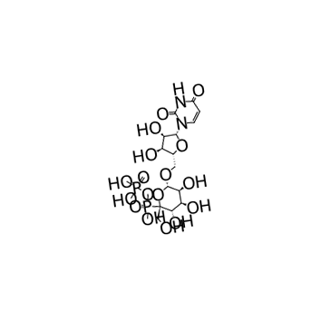 O=c1ccn([C@@H]2O[C@H](CO[C@H]3O[C@@](CO)(P(=O)(O)OP(=O)(O)O)[C@@H](O)[C@H](O)[C@@H]3O)[C@@H](O)[C@H]2O)c(=O)[nH]1